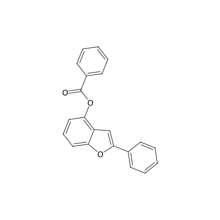 O=C(Oc1cccc2oc(-c3ccccc3)cc12)c1ccccc1